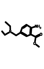 CCN(CC)Cc1ccc(N)c(C(=O)OC)c1